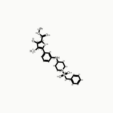 Cc1c(-c2cccc(NC3CCN(S(=O)(=O)Cc4ccccc4)CC3)c2)sc(C(=O)OC(C)C)c1[O]